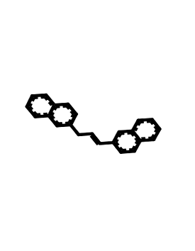 C(=Cc1ccc2ccccc2c1)Cc1ccc2ccccc2c1